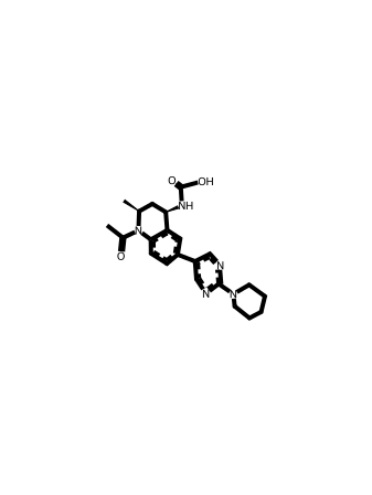 CC(=O)N1c2ccc(-c3cnc(N4CCCCC4)nc3)cc2[C@H](NC(=O)O)C[C@@H]1C